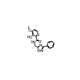 COc1ccnc(C(=O)N[C@@H](C)c2nc(-c3ccccc3)no2)c1O